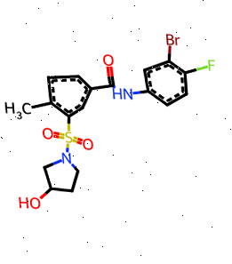 Cc1ccc(C(=O)Nc2ccc(F)c(Br)c2)cc1S(=O)(=O)N1CCC(O)C1